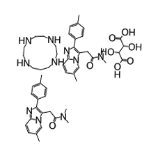 C1CNCCNCCNCCNC1.Cc1ccc(-c2nc3ccc(C)cn3c2CC(=O)N(C)C)cc1.Cc1ccc(-c2nc3ccc(C)cn3c2CC(=O)N(C)C)cc1.O=C(O)C(O)C(O)C(=O)O